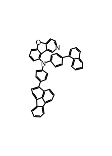 c1ccc2c(c1)-c1cccc3c(-c4ccc(N(c5ccc(-c6cccc7ccccc67)cc5)c5cccc6oc7ccncc7c56)cc4)ccc-2c13